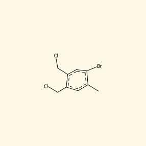 Cc1cc(CCl)c(CCl)cc1Br